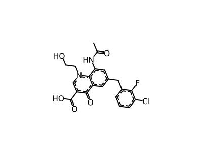 CC(=O)Nc1cc(Cc2cccc(Cl)c2F)cc2c(=O)c(C(=O)O)cn(CCO)c12